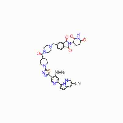 CNc1cc(-c2ccc3cc(C#N)cnn23)ncc1-c1nnc(N2CCC(C(=O)N3CCN(Cc4ccc5c(c4)C(=O)N(C4CCC(=O)NC4=O)C5=O)CC3)CC2)s1